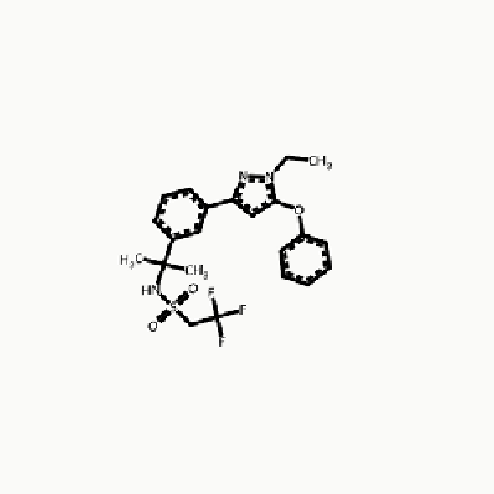 CCn1nc(-c2cccc(C(C)(C)NS(=O)(=O)CC(F)(F)F)c2)cc1Oc1ccccc1